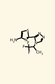 CC(n1cnnc1-c1nc(N)cs1)C(F)(F)F